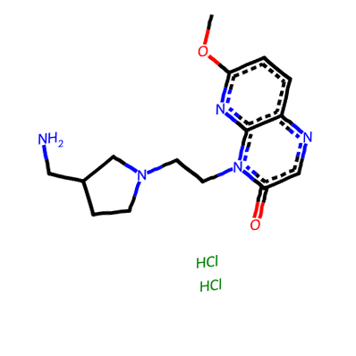 COc1ccc2ncc(=O)n(CCN3CCC(CN)C3)c2n1.Cl.Cl